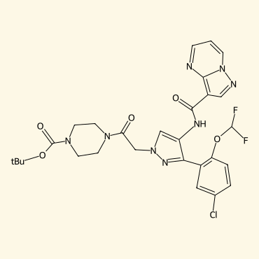 CC(C)(C)OC(=O)N1CCN(C(=O)Cn2cc(NC(=O)c3cnn4cccnc34)c(-c3cc(Cl)ccc3OC(F)F)n2)CC1